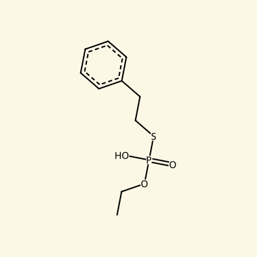 CCOP(=O)(O)SCCc1ccccc1